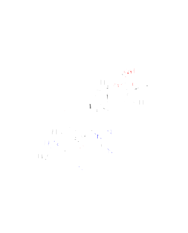 CCC(N)(CC)CO[C@H]1[C@H](n2ncnc2-c2ccncc2)C[C@@]23COC[C@]1(C)[C@@H]2CC[C@H]1C3=CC[C@]2(C)[C@H](OC(=O)O)[C@@](C)([C@H](C)C(C)C)CC[C@]12C